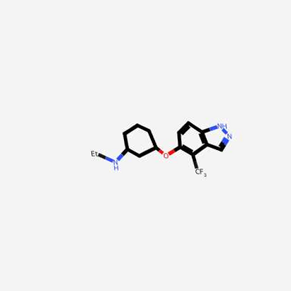 CCNC1CCCC(Oc2ccc3[nH]ncc3c2C(F)(F)F)C1